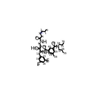 CC/C=C\CC(=O)NCC[C@@H](O)[C@H](Cc1cc(F)cc(F)c1)NC(=O)c1cc(C)cc(C(=O)N(CCC)CCC)c1